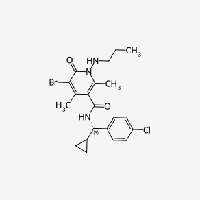 CCCNn1c(C)c(C(=O)N[C@H](c2ccc(Cl)cc2)C2CC2)c(C)c(Br)c1=O